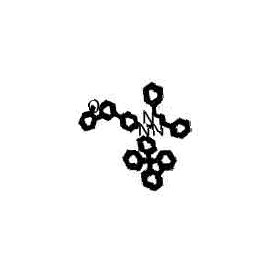 c1ccc(-c2cc(-c3ccccc3)nc(N(c3ccc(-c4ccc5oc6ccccc6c5c4)cc3)c3ccc(C4(c5ccccc5)c5ccccc5-c5ccccc54)cc3)n2)cc1